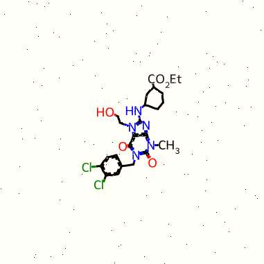 CCOC(=O)C1CCCC(Nc2nc3c(c(=O)n(Cc4ccc(Cl)c(Cl)c4)c(=O)n3C)n2CCO)C1